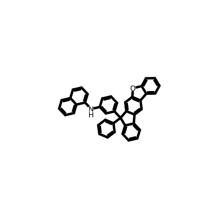 c1ccc(C2(c3cccc(Nc4cccc5ccccc45)c3)c3ccccc3-c3cc4c(cc32)oc2ccccc24)cc1